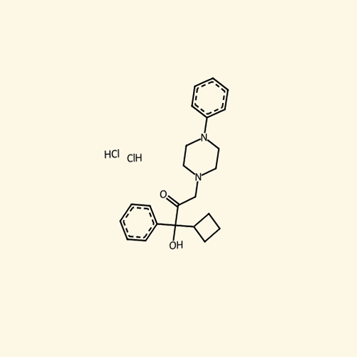 Cl.Cl.O=C(CN1CCN(c2ccccc2)CC1)C(O)(c1ccccc1)C1CCC1